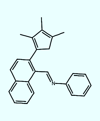 CC1=C(C)C(C)=C(c2ccc3ccccc3c2/C=N/c2ccccc2)C1